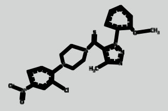 COc1ccccc1-n1nnc(C)c1C(=S)N1CCN(c2ccc([N+](=O)[O-])cc2Cl)CC1